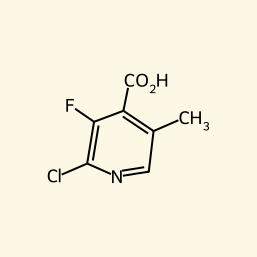 Cc1cnc(Cl)c(F)c1C(=O)O